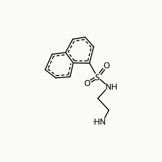 [NH]CCNS(=O)(=O)c1cccc2ccccc12